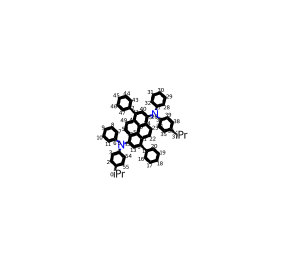 CC(C)c1ccc(N(c2ccccc2)c2cc(-c3ccccc3)c3ccc4c(N(c5ccccc5)c5ccc(C(C)C)cc5)cc(-c5ccccc5)c5ccc2c3c54)cc1